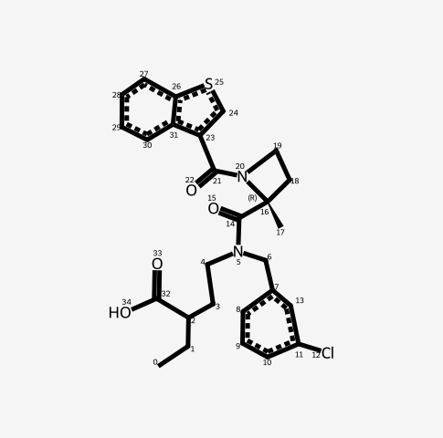 CCC(CCN(Cc1cccc(Cl)c1)C(=O)[C@@]1(C)CCN1C(=O)c1csc2ccccc12)C(=O)O